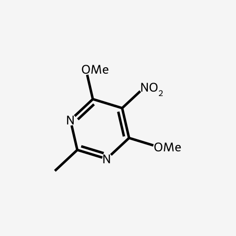 COc1nc(C)nc(OC)c1[N+](=O)[O-]